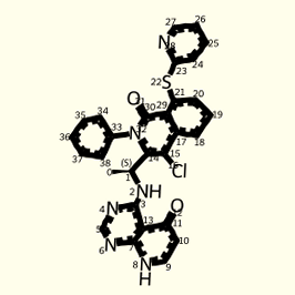 C[C@H](Nc1ncnc2[nH]ccc(=O)c12)c1c(Cl)c2cccc(Sc3ccccn3)c2c(=O)n1-c1ccccc1